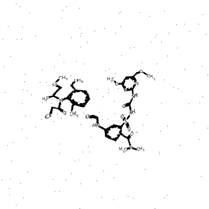 CCc1cccc(C)c1N(C(=O)CCl)C(C)COC.COc1cc(OC)nc(NC(=O)NS(=O)(=O)c2cc(NC=O)ccc2C(=O)N(C)C)n1